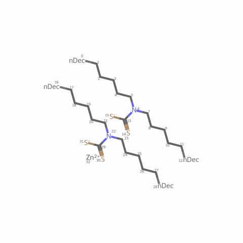 CCCCCCCCCCCCCCCN(CCCCCCCCCCCCCCC)C(=S)[S-].CCCCCCCCCCCCCCCN(CCCCCCCCCCCCCCC)C(=S)[S-].[Zn+2]